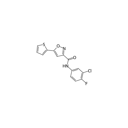 O=C(Nc1ccc(F)c(Cl)c1)c1cc(-c2cccs2)on1